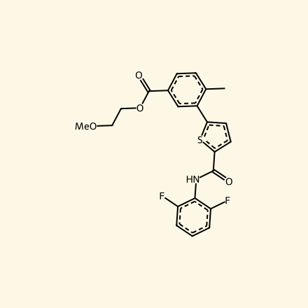 COCCOC(=O)c1ccc(C)c(-c2ccc(C(=O)Nc3c(F)cccc3F)s2)c1